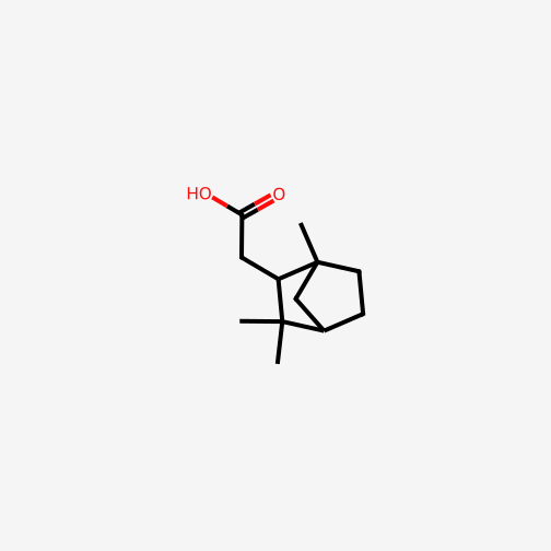 CC12CCC(C1)C(C)(C)C2CC(=O)O